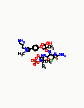 C[n+]1cc(-c2ccc(OCC(C)(O/N=C(\C(=O)N[C@@H]3C(=O)N(OS(=O)(=O)[O-])C3(C)C)c3nc(N)sc3Cl)C(=O)O)cc2)cn1CCCN